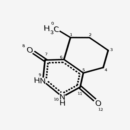 CC1CCCc2c1c(=O)[nH][nH]c2=O